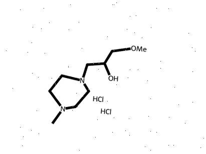 COCC(O)CN1CCN(C)CC1.Cl.Cl